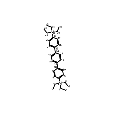 CC[N+](CC)(CC)c1ccc(-c2ccc(-c3ccc([N+](CC)(CC)CC)cc3)cc2)cc1